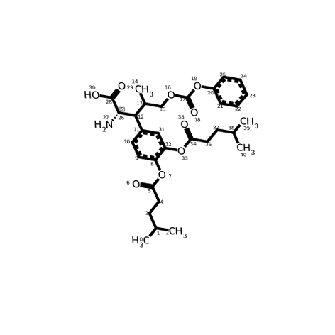 CC(C)CCC(=O)Oc1ccc(C(C(C)COC(=O)Oc2ccccc2)[C@H](N)C(=O)O)cc1OC(=O)CCC(C)C